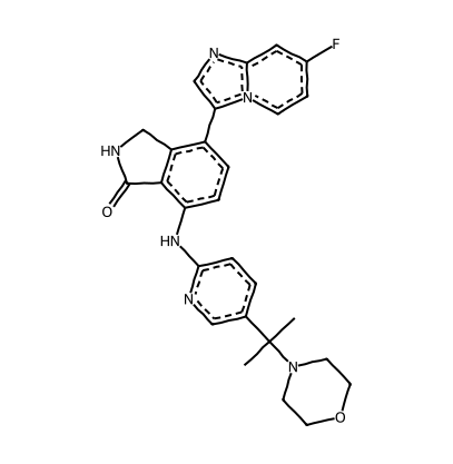 CC(C)(c1ccc(Nc2ccc(-c3cnc4cc(F)ccn34)c3c2C(=O)NC3)nc1)N1CCOCC1